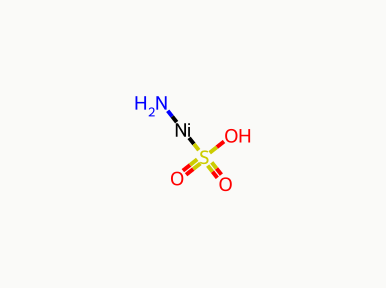 [NH2][Ni][S](=O)(=O)O